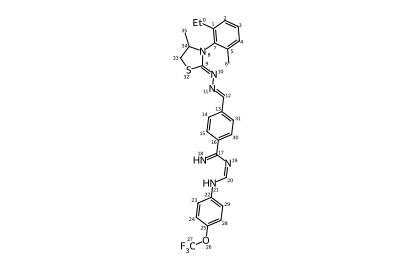 CCc1cccc(C)c1N1/C(=N/N=C/c2ccc(C(=N)/N=C\Nc3ccc(OC(F)(F)F)cc3)cc2)SCC1C